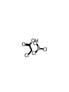 ClB(Cl)Cl.O=C(O)CCl